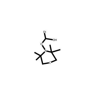 CCC(O)ON1C(C)(C)CCCC1(C)C